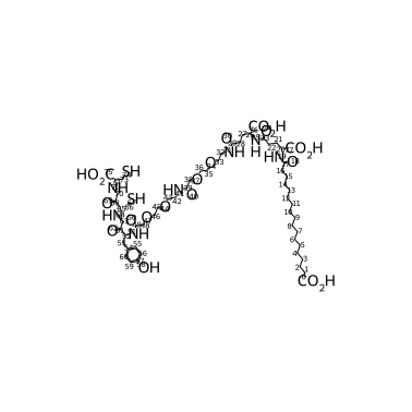 O=C(O)CCCCCCCCCCCCCCCCC(=O)N[C@@H](CCC(=O)N[C@@H](CCC(=O)NCCOCCOCC(=O)NCCOCCOCC(=O)N[C@@H](Cc1ccc(O)cc1)C(=O)CN[C@@H](CS)C(=O)CN[C@@H](CS)C(=O)O)C(=O)O)C(=O)O